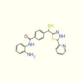 Nc1ccccc1NC(=O)c1ccc(C(S)C2=NNC(c3ccccn3)S2)cc1